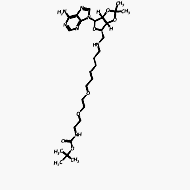 CC(C)(C)OC(=O)NCCOCCOCCCCCCNC[C@H]1O[C@@H](n2cnc3c(N)ncnc32)[C@@H]2OC(C)(C)O[C@@H]21